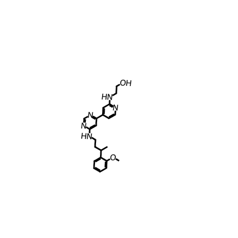 COc1ccccc1C(C)CCNc1cc(-c2ccnc(NCCO)c2)ncn1